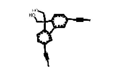 CC#Cc1ccc2c(c1)-c1cc(C#CC)ccc1C2(CO)CO